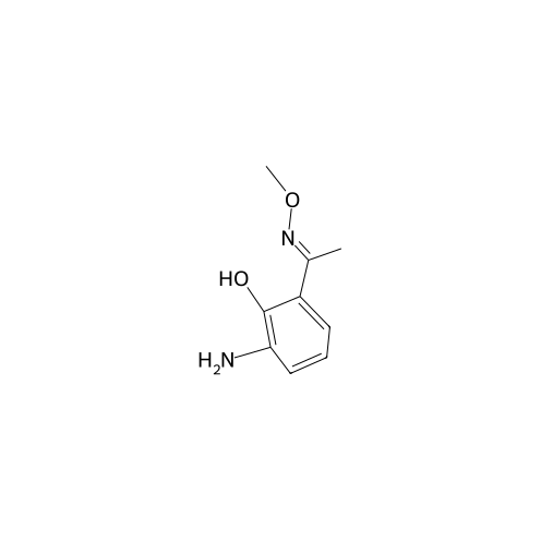 CON=C(C)c1cccc(N)c1O